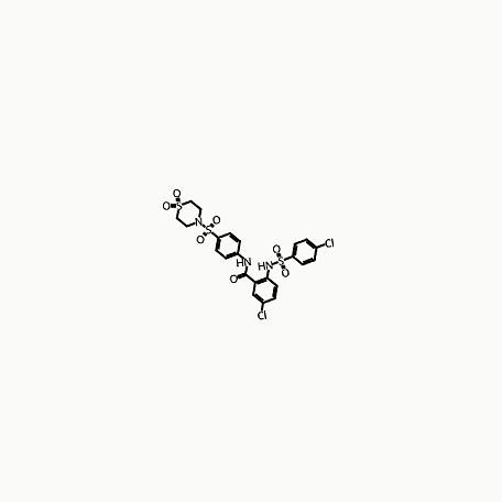 O=C(Nc1ccc(S(=O)(=O)N2CCS(=O)(=O)CC2)cc1)c1cc(Cl)ccc1NS(=O)(=O)c1ccc(Cl)cc1